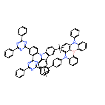 CC(C)(C)c1ccc2c(c1)c1cc(C(C)(C)C)ccc1n2-c1ccc(-c2nc(-c3ccccc3)nc(-c3ccccc3)n2)cc1-c1nc(-c2ccccc2)nc(-c2cccc(-c3ccc(N4c5ccccc5B5c6ccccc6N(c6ccccc6)c6cccc4c65)cc3)c2)n1